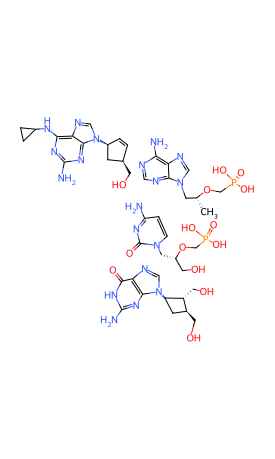 C[C@H](Cn1cnc2c(N)ncnc21)OCP(=O)(O)O.Nc1ccn(C[C@@H](CO)OCP(=O)(O)O)c(=O)n1.Nc1nc(NC2CC2)c2ncn([C@H]3C=C[C@@H](CO)C3)c2n1.Nc1nc2c(ncn2[C@@H]2C[C@H](CO)[C@H]2CO)c(=O)[nH]1